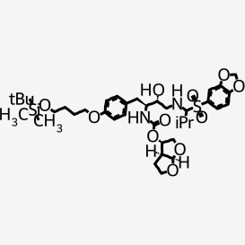 CC(C)C(NC[C@@H](O)[C@H](Cc1ccc(OCCCCO[Si](C)(C)C(C)(C)C)cc1)NC(=O)O[C@H]1CO[C@H]2OCC[C@H]21)S(=O)(=O)c1ccc2c(c1)OCO2